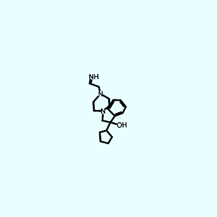 N=CCN1CCN(CC(O)(c2ccccc2)C2CCCC2)CC1